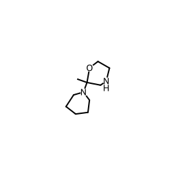 CC1(N2CCCCC2)CNCCO1